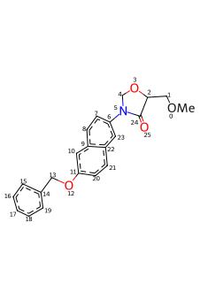 COCC1OCN(c2ccc3cc(OCc4ccccc4)ccc3c2)C1=O